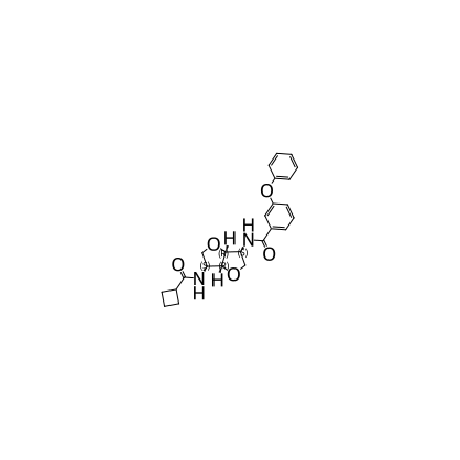 O=C(N[C@H]1CO[C@H]2[C@@H]1OC[C@@H]2NC(=O)C1CCC1)c1cccc(Oc2ccccc2)c1